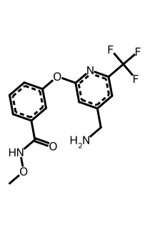 CONC(=O)c1cccc(Oc2cc(CN)cc(C(F)(F)F)n2)c1